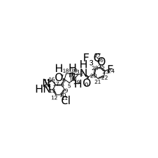 O=C(NC1[C@H]2CC(O)(c3cc(Cl)cc4[nH]ncc34)C[C@@H]12)c1ccc(F)c(OC(F)(F)F)c1